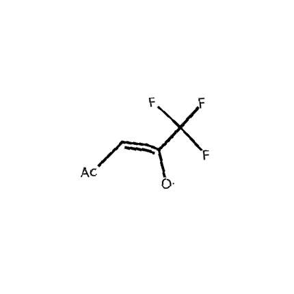 CC(=O)C=C([O])C(F)(F)F